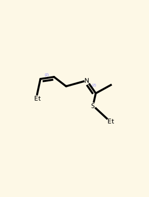 CC/C=C\C/N=C(/C)SCC